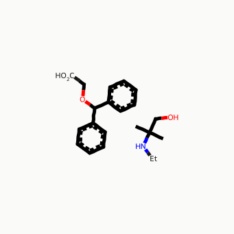 CCNC(C)(C)CO.O=C(O)COC(c1ccccc1)c1ccccc1